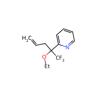 C=CCC(OCC)(c1ccccn1)C(F)(F)F